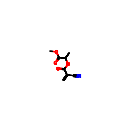 C=C(C#N)C(=O)OC(C)C(=O)OC